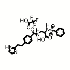 O=C(NCC(NS(=O)(=O)c1ccccc1)C(=O)O)c1ccc(CCc2ncc[nH]2)cc1.O=C(O)C(F)(F)F